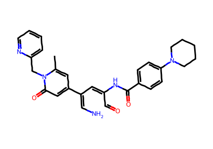 Cc1cc(C(/C=C(\C=O)NC(=O)c2ccc(N3CCCCC3)cc2)=C/N)cc(=O)n1Cc1ccccn1